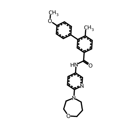 COc1ccc(-c2cc(C(=O)Nc3ccc(N4CCCOCC4)nc3)ccc2C)cc1